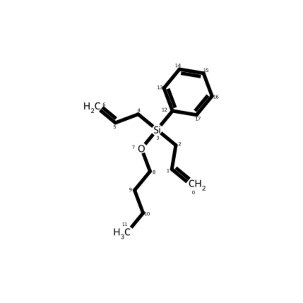 C=CC[Si](CC=C)(OCCCC)c1ccccc1